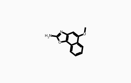 COc1cc2nc(N)oc2c2ccccc12